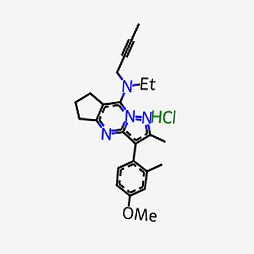 CC#CCN(CC)c1c2c(nc3c(-c4ccc(OC)cc4C)c(C)nn13)CCC2.Cl